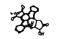 O=C1NC(=O)c2c1c1c3ccccc3[nH]c1c1c2c2ccccc2n1C1CC(=O)[C@@H](O)[C@H]1O